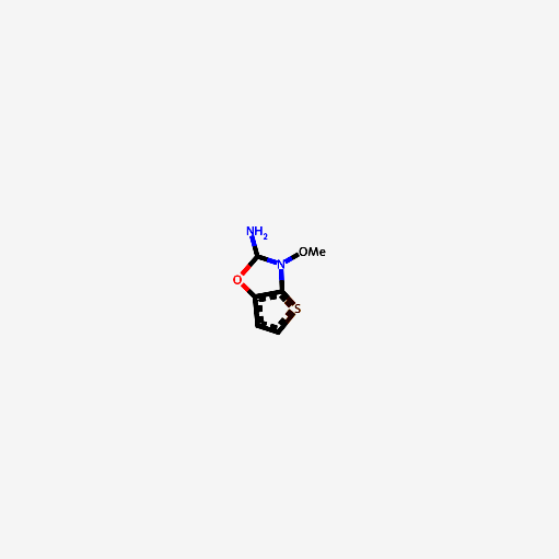 CON1c2sccc2OC1N